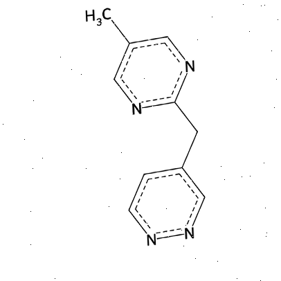 Cc1cnc(Cc2ccnnc2)nc1